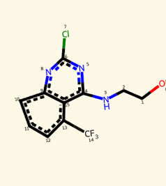 OCCNc1nc(Cl)nc2cccc(C(F)(F)F)c12